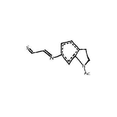 CC(=O)N1CCc2ccc(N=CC=S)cc21